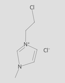 Cn1cc[n+](CCCl)c1.[Cl-]